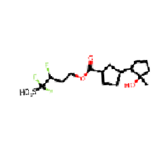 CC1(O)CCCC1C1CCC(C(=O)OCCC(F)C(F)(F)S(=O)(=O)O)C1